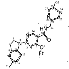 CCOc1nc(N2CCc3cc(C)ccc32)ncc1C(=O)NCc1cnc(C)cn1